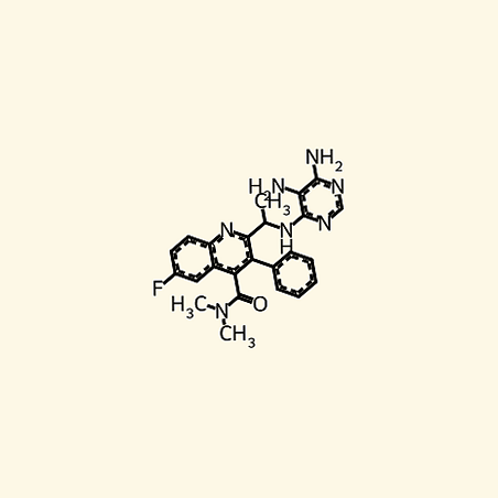 CC(Nc1ncnc(N)c1N)c1nc2ccc(F)cc2c(C(=O)N(C)C)c1-c1ccccc1